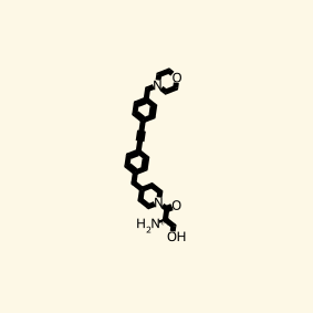 N[C@H](CO)C(=O)N1CCC(Cc2ccc(C#Cc3ccc(CN4CCOCC4)cc3)cc2)CC1